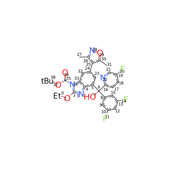 CCOc1nc2c(C(O)(c3cc(F)cc(F)c3)c3ccc(F)cn3)cc(-c3c(C)noc3C)cc2n1C(=O)OC(C)(C)C